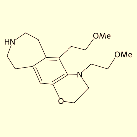 COCCc1c2c(cc3c1N(CCOC)CCO3)CCNCC2